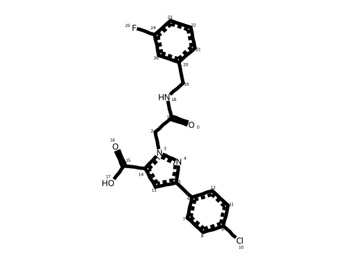 O=C(Cn1nc(-c2ccc(Cl)cc2)cc1C(=O)O)NCc1cccc(F)c1